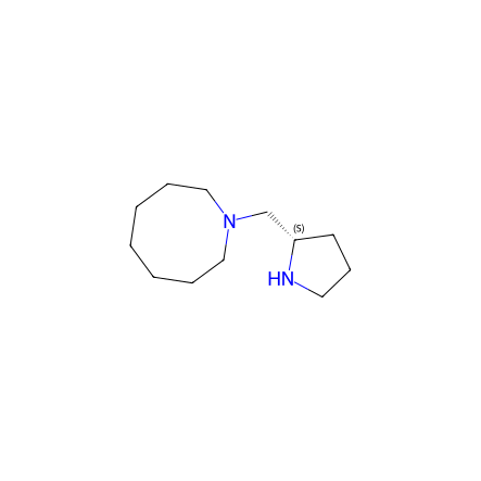 C1CCCN(C[C@@H]2CCCN2)CCC1